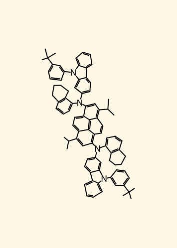 CC(C)c1cc(N(c2ccc3c4ccccc4n(-c4cccc(C(C)(C)C)c4)c3c2)c2cccc3c2CCCC3)c2ccc3c(C(C)C)cc(N(c4ccc5c6ccccc6n(-c6cccc(C(C)(C)C)c6)c5c4)c4cccc5c4CCCC5)c4ccc1c2c34